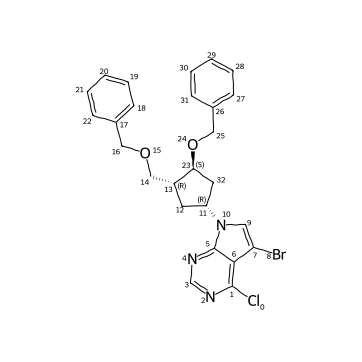 Clc1ncnc2c1c(Br)cn2[C@@H]1C[C@H](COCc2ccccc2)[C@@H](OCc2ccccc2)C1